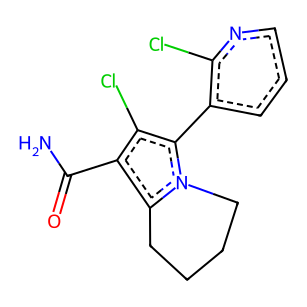 NC(=O)c1c(Cl)c(-c2cccnc2Cl)n2c1CCCC2